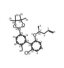 C=CC[C@H](C)Oc1cccc(Cl)c1-c1cc(B2OC(C)(C)C(C)(C)O2)ccc1C